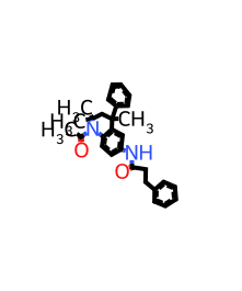 CC(=O)N1c2ccc(NC(=O)CCc3ccccc3)cc2C(C)(c2ccccc2)CC1(C)C